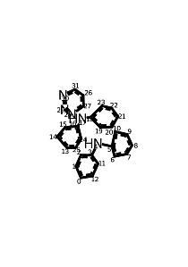 c1ccc(Nc2ccccc2)cc1.c1ccc(Nc2ccccc2)cc1.c1cnnnc1